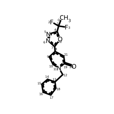 CC(F)(F)c1nnc(-c2ccn(Cc3ccccc3)c(=O)c2)o1